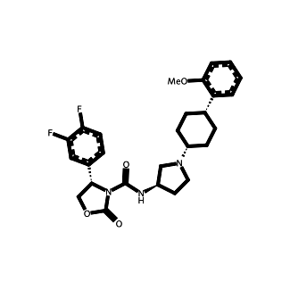 COc1ccccc1[C@H]1CC[C@@H](N2CC[C@@H](NC(=O)N3C(=O)OC[C@@H]3c3ccc(F)c(F)c3)C2)CC1